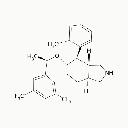 Cc1ccccc1[C@H]1[C@@H]2CNC[C@H]2CC[C@@H]1O[C@H](C)c1cc(C(F)(F)F)cc(C(F)(F)F)c1